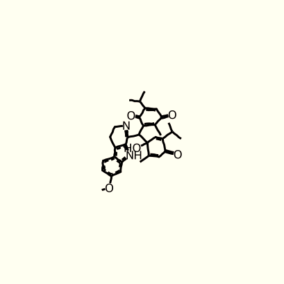 COc1ccc2c3c([nH]c2c1)C(C(C1=C(C)C(=O)C=C(C(C)C)C1=O)C1(O)C=C(C(C)C)C(=O)C=C1C)=NCC3